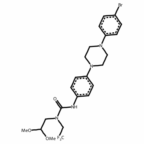 COC(CN(CC(F)(F)F)C(=O)Nc1ccc(N2CCN(c3ccc(Br)cc3)CC2)cc1)OC